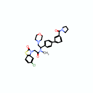 CN(C(=O)Cn1c(=O)sc2ccc(Cl)cc21)C(CN1CCOCC1)c1ccc(-c2cccc(C(=O)N3CCCC3)c2)cc1